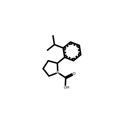 CC(C)c1ccccc1C1CCCN1C(=O)O